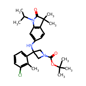 Cc1c(Cl)cccc1C1(Nc2ccc3c(c2)N(C(C)C)C(=O)C3(C)C)CN(C(=O)OC(C)(C)C)C1